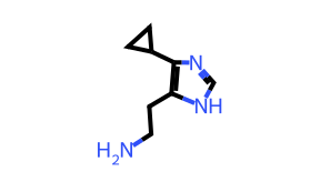 NCCc1[nH]cnc1C1CC1